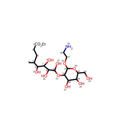 CCOC(=O)CCC(C)C(O)C(O)C(O)C(O)OC1C(OCCN)OC(CO)C(O)C1O